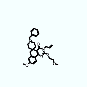 C=CCn1c(SCCOC)nc2c(c1=O)C1(CCN(Cc3ccccc3)CC1)Cc1cc(OC)ccc1-2